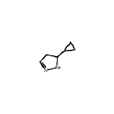 C1=NNC(C2CC2)C1